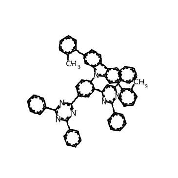 Cc1ccccc1-c1ccc2c3ccc(-c4ccccc4C)cc3n(-c3ccc(-c4nc(-c5ccccc5)nc(-c5ccccc5)n4)cc3-c3cc(-c4ccccc4)nc(-c4ccccc4)n3)c2c1